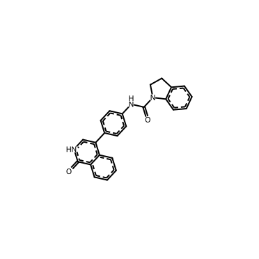 O=C(Nc1ccc(-c2c[nH]c(=O)c3ccccc23)cc1)N1CCc2ccccc21